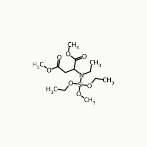 CCO[Si](OC)(OCC)N(CC)C(CC(=O)OC)C(=O)OC